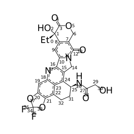 CC[C@@]1(O)C(=O)OCc2c1cc1n(c2=O)Cc2c-1nc1cc3c(c4c1c2[C@@H](NC(=O)CO)CC4)OC(F)(F)O3